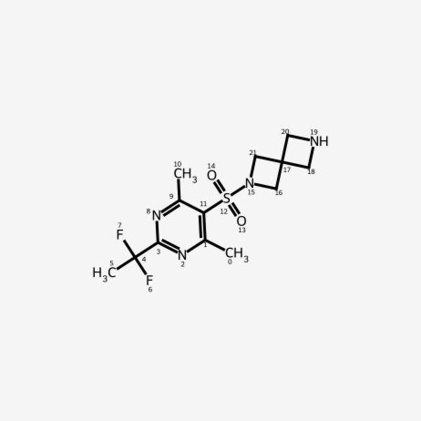 Cc1nc(C(C)(F)F)nc(C)c1S(=O)(=O)N1CC2(CNC2)C1